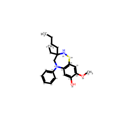 CCCCC1(CC)CN(c2ccccc2)c2cc(O)c(OC)cc2SN1